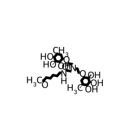 CC(=O)CCCCCNC(=O)CN(CCO[C@@H]1C[C@@H](C)[C@@H](O)[C@@H](O)[C@@H]1O)CCO[C@@H]1C[C@@H](C)[C@@H](O)[C@@H](O)[C@@H]1O